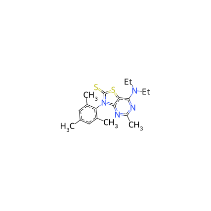 CCN(CC)c1nc(C)nc2c1sc(=S)n2-c1c(C)cc(C)cc1C